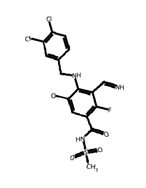 CS(=O)(=O)NC(=O)c1cc(Cl)c(NCc2ccc(Cl)c(Cl)c2)c(C=N)c1F